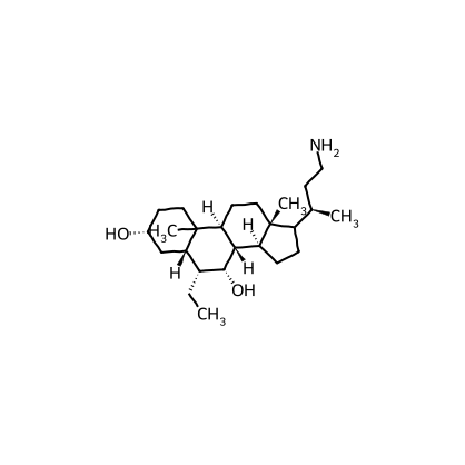 CC[C@H]1[C@@H](O)[C@@H]2[C@H](CC[C@]3(C)C([C@H](C)CCN)CC[C@@H]23)C2(C)CC[C@@H](O)C[C@@H]12